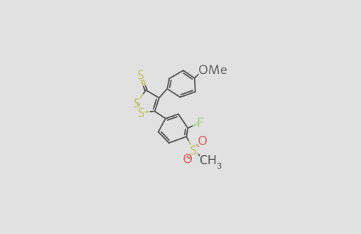 COc1ccc(-c2c(-c3ccc(S(C)(=O)=O)c(F)c3)ssc2=S)cc1